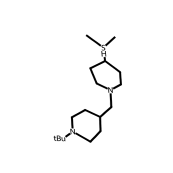 C[SH](C)C1CCN(CC2CCN(C(C)(C)C)CC2)CC1